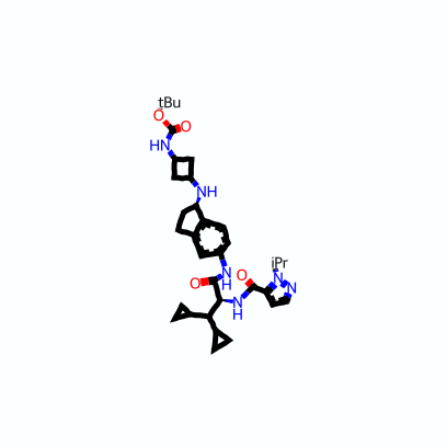 CC(C)n1nccc1C(=O)N[C@H](C(=O)Nc1ccc2c(c1)CC[C@H]2NC1CC(NC(=O)OC(C)(C)C)C1)C(C1CC1)C1CC1